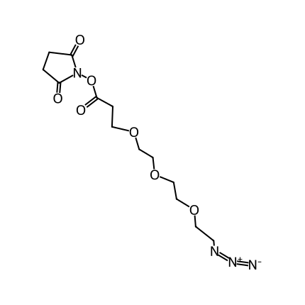 [N-]=[N+]=NCCOCCOCCOCCC(=O)ON1C(=O)CCC1=O